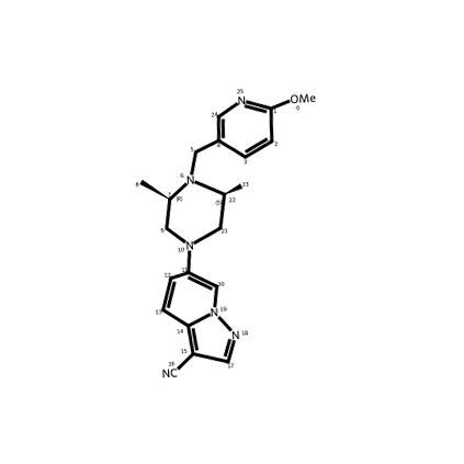 COc1ccc(CN2[C@H](C)CN(c3ccc4c(C#N)cnn4c3)C[C@@H]2C)cn1